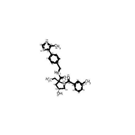 CCC1(C(=O)NCc2ccc(-c3scnc3C)cc2)C[C@@H](O)CN1C(=O)c1cccc(C)c1